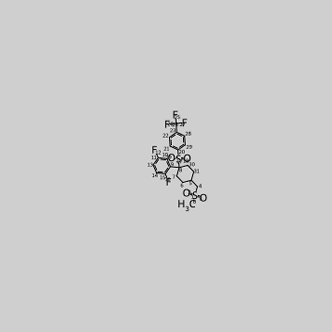 CS(=O)(=O)CC1CCC(c2cc(F)ccc2F)(S(=O)(=O)c2ccc(C(F)(F)F)cc2)CC1